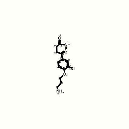 NCCCOc1ccc(C2=NNC(=O)CC2)cc1Cl